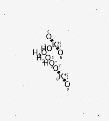 O.O.[OH-].[OH-].[O]=[K+]=[O].[O]=[K+]=[O]